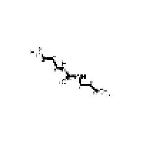 [CH2]CCCNC(=O)NCCCC